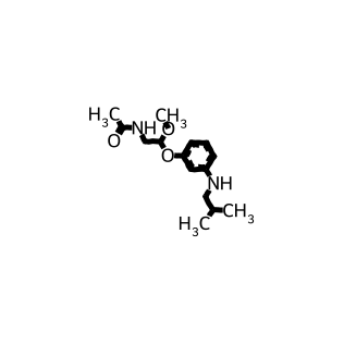 COC(CNC(C)=O)Oc1cccc(NCC(C)C)c1